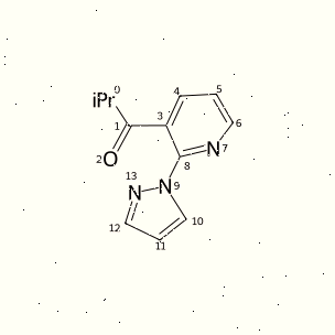 CC(C)C(=O)c1cccnc1-n1cccn1